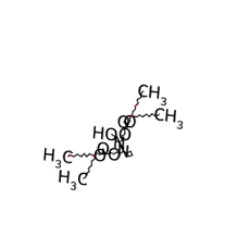 CCCCCCCCC(CCCCCCCC)COC(=O)CCOCCN(CCO)CCN(CCOCCC(=O)OCC(CCCCCCCC)CCCCCCCC)C1CCC1